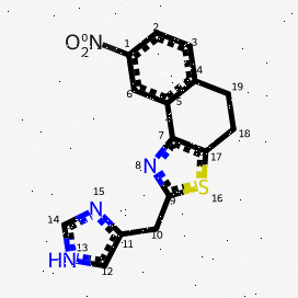 O=[N+]([O-])c1ccc2c(c1)-c1nc(Cc3c[nH]cn3)sc1CC2